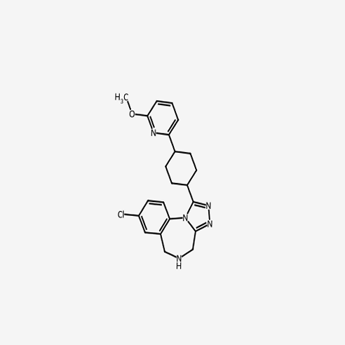 COc1cccc(C2CCC(c3nnc4n3-c3ccc(Cl)cc3CNC4)CC2)n1